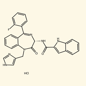 Cl.O=C(N[C@H]1N=C(c2ccccc2F)c2ccccc2N(Cc2c[nH]cn2)C1=O)c1cc2ccccc2[nH]1